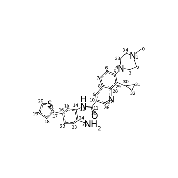 CN1CCN(c2ccc3cc(C(=O)Nc4cc(-c5cccs5)ccc4N)cnc3c2C2CC2)CC1